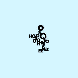 CCN(CC)CCNC(=O)N1CCCC(Sc2ccccc2)CC1.O=C(O)C(=O)O